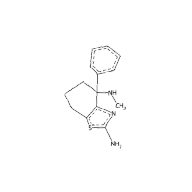 CNC1(c2ccccc2)CCCc2sc(N)nc21